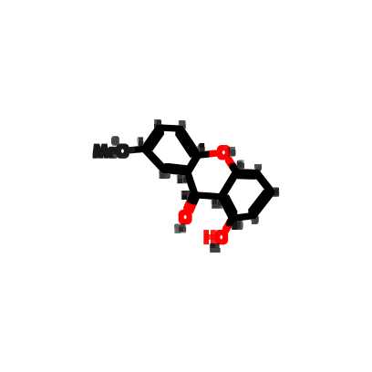 COc1ccc2oc3cccc(O)c3c(=O)c2c1